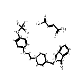 O=C(O)C=CC(=O)O.O=C1c2ccccc2CN1CC1CCN(CCOc2ccc(OC(F)(F)F)cc2)CC1